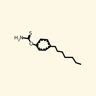 CCCCCCCc1ccc(OC(N)=S)cc1